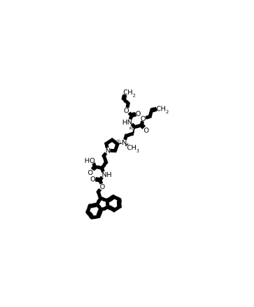 C=CCOC(=O)N[C@H](CCN(C)[C@H]1CCN(CCC(NC(=O)OCC2c3ccccc3-c3ccccc32)C(=O)O)C1)C(=O)OCC=C